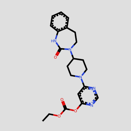 CCOC(=O)Oc1cc(N2CCC(N3CCc4ccccc4NC3=O)CC2)ncn1